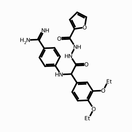 CCOc1ccc(C(Nc2ccc(C(=N)N)cc2)C(=O)NNC(=O)c2ccco2)cc1OCC